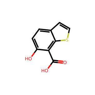 O=C(O)c1c(O)ccc2ccsc12